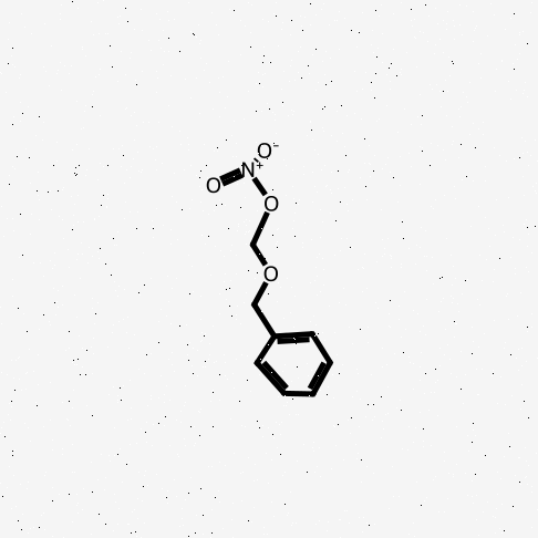 O=[N+]([O-])OCOCc1ccccc1